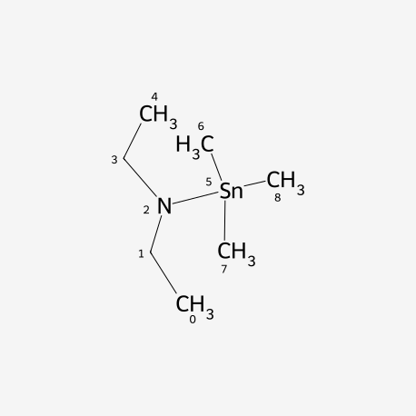 CC[N](CC)[Sn]([CH3])([CH3])[CH3]